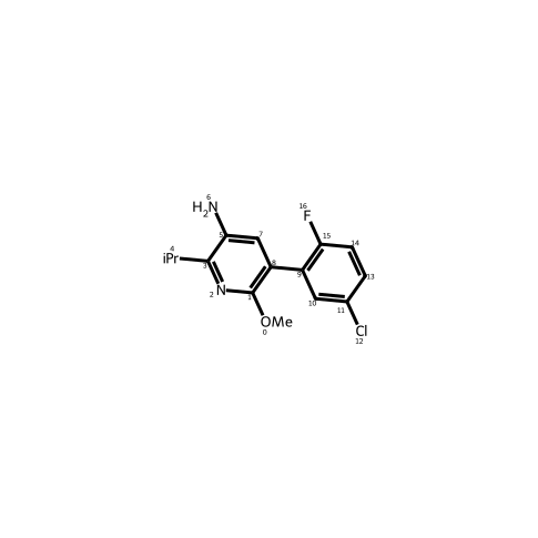 COc1nc(C(C)C)c(N)cc1-c1cc(Cl)ccc1F